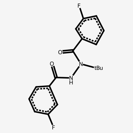 CC(C)(C)N(NC(=O)c1cccc(F)c1)C(=O)c1cccc(F)c1